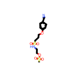 CS(=O)(=O)OCCNS(=O)(=O)CCCOc1ccc(C#N)cc1